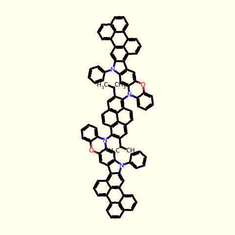 CC(C)c1cc2ccc3c(-n4c5ccccc5oc5cc6c7c8cccc9c%10cccc%11cccc(c(cc7n(-c7ccccc7)c6cc54)c98)c%11%10)c(C(C)C)cc4ccc(c1-n1c5ccccc5oc5cc6c7c8cccc9c%10cccc%11cccc(c(cc7n(-c7ccccc7)c6cc51)c98)c%11%10)c2c43